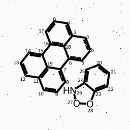 c1cc2cccc3c4cccc5cccc(c(c1)c23)c54.c1ccc2c(c1)NOO2